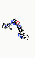 Cc1c(-c2ccc3cnc(NC(=O)c4ccnc(N5CCC(N(C)C)CC5)c4)cc3c2)cnn1C